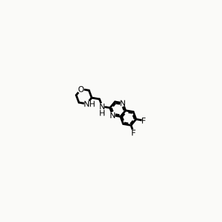 Fc1cc2ncc(NCC3COCCN3)nc2cc1F